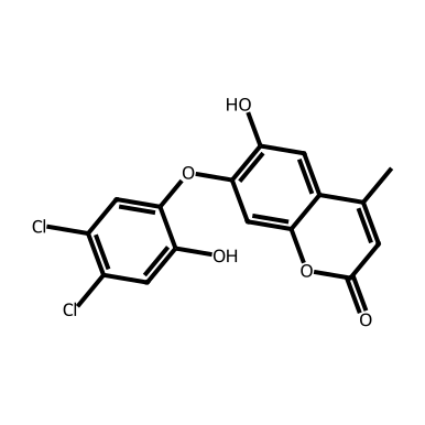 Cc1cc(=O)oc2cc(Oc3cc(Cl)c(Cl)cc3O)c(O)cc12